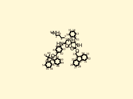 CNCCCC[C@H](NC(=O)[C@H](Cc1ccccc1)NC(=O)OCC1c2ccccc2-c2ccccc21)C(=O)Nc1ccc(CO[Si](c2ccccc2)(c2ccccc2)C(C)(C)C)cc1